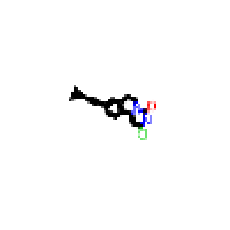 O=c1nc(Cl)cc2n1CCc1cc(C#CC3CC3)ccc1-2